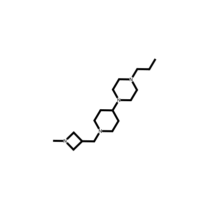 CCCN1CCN(C2CCN(CC3CN(C)C3)CC2)CC1